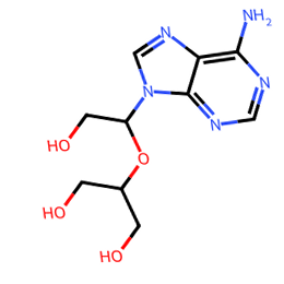 Nc1ncnc2c1ncn2C(CO)OC(CO)CO